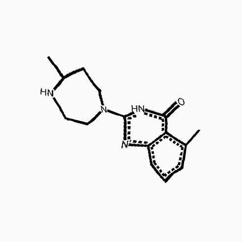 Cc1cccc2nc(N3CCNC(C)CC3)[nH]c(=O)c12